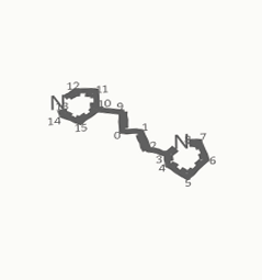 C(C=Cc1ccccn1)=Cc1ccncc1